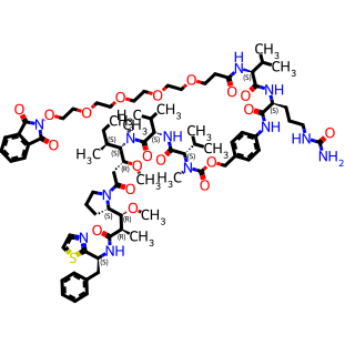 CC[C@H](C)[C@@H]([C@@H](CC(=O)N1CCC[C@H]1[C@H](OC)[C@@H](C)C(=O)N[C@@H](Cc1ccccc1)c1nccs1)OC)N(C)C(=O)[C@@H](NC(=O)[C@H](C(C)C)N(C)C(=O)OCc1ccc(NC(=O)[C@H](CCCNC(N)=O)NC(=O)[C@@H](NC(=O)CCOCCOCCOCCOCCON2C(=O)c3ccccc3C2=O)C(C)C)cc1)C(C)C